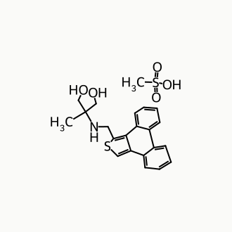 CC(CO)(CO)NCc1scc2c3ccccc3c3ccccc3c12.CS(=O)(=O)O